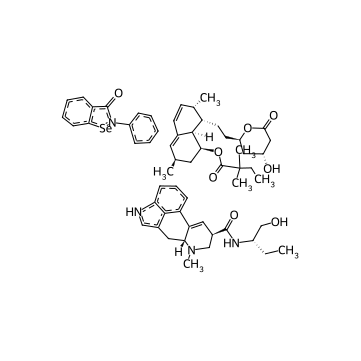 CCC(C)(C)C(=O)O[C@H]1C[C@@H](C)C=C2C=C[C@H](C)[C@H](CC[C@@H]3C[C@@H](O)CC(=O)O3)[C@H]21.CC[C@@H](CO)NC(=O)[C@@H]1C=C2c3cccc4[nH]cc(c34)C[C@H]2N(C)C1.O=c1c2ccccc2[se]n1-c1ccccc1